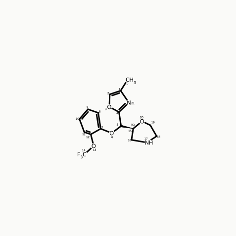 Cc1coc(C(Oc2ccccc2OC(F)(F)F)[C@@H]2CNCCO2)n1